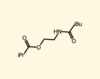 CCC(C)C(=O)NCCOC(=O)C(C)C